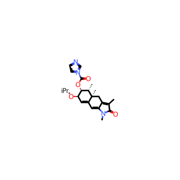 CC1=C2C[C@@]3(C)C(=C[C@@H](OC(C)C)[C@H](OC(=O)n4ccnc4)[C@@H]3C)C=C2N(C)C1=O